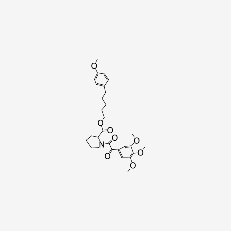 COc1ccc(CCCCCOC(=O)C2CCCCN2C(=O)C(=O)c2cc(OC)c(OC)c(OC)c2)cc1